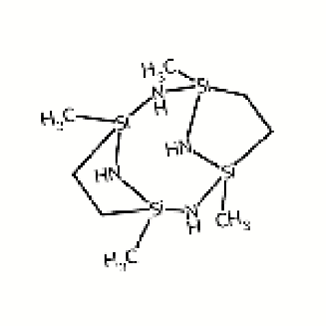 C[Si]12CC[Si](C)(N1)N[Si]1(C)CC[Si](C)(N1)N2